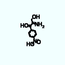 N[C@H](CO)[C@H](O)c1ccc([N+](=O)O)cc1